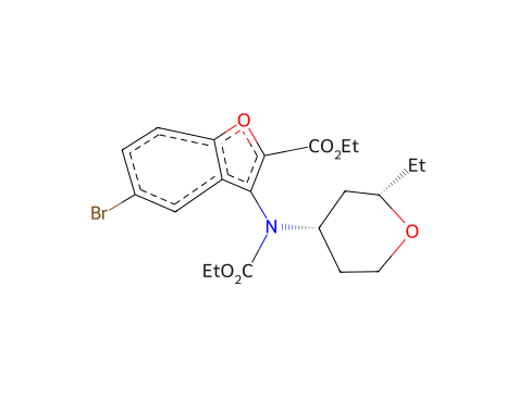 CCOC(=O)c1oc2ccc(Br)cc2c1N(C(=O)OCC)[C@H]1CCO[C@@H](CC)C1